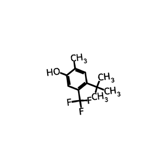 Cc1cc(C(C)(C)C)c(C(F)(F)F)cc1O